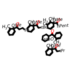 CCCCCC(=O)C1(OC)C=CCC(C)=C1C.COC1(C(=O)C2CCCCC2)C=CCC=C1C.COC1(C(=O)CC(C)(C)C)C=CCC=C1C.COC1(C(=O)CC(C)C)C=CCC=C1C.COC1(C(=O)CCC(C)C)C=CCC=C1C